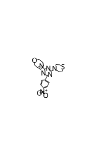 O=[N+]([O-])c1ccc(-c2nc(N3CCSCC3)nc(N3C4CCC3COC4)n2)cc1